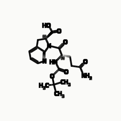 CC(C)(C)OC(=O)N[C@@H](CCC(N)=O)C(=O)N1c2ncccc2C[C@H]1C(=O)O